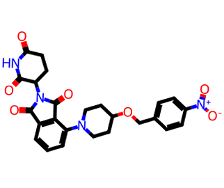 O=C1CCC(N2C(=O)c3cccc(N4CCC(OCc5ccc([N+](=O)[O-])cc5)CC4)c3C2=O)C(=O)N1